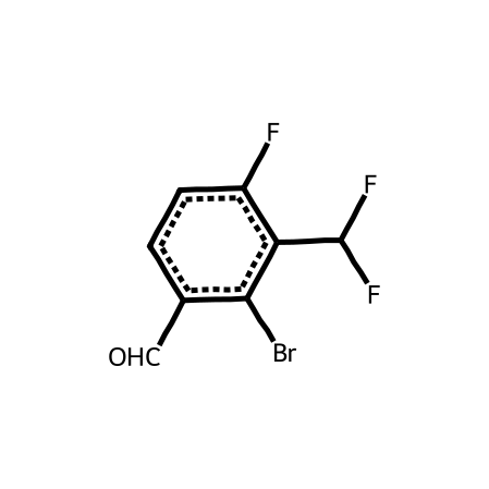 O=Cc1ccc(F)c(C(F)F)c1Br